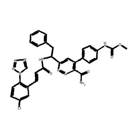 COC(=O)Nc1ccc(-c2cc(C(Cc3ccccc3)NC(=O)C=Cc3cc(Cl)ccc3-n3cnnn3)nnc2C(N)=O)cc1